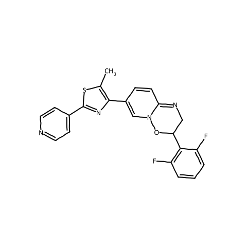 Cc1sc(-c2ccncc2)nc1C1=CN2OC(c3c(F)cccc3F)CN=C2C=C1